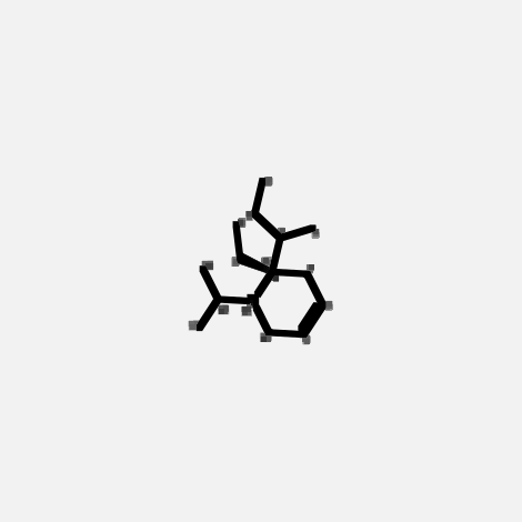 CCC(C)[C@]1(CC)CC=CCN1C(C)C